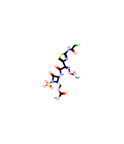 CON=C(C(=O)N[C@H]1C(=O)N(S(=O)(=O)[O-])[C@H]1COC(C)=O)c1csc(NC(=O)CCl)n1.[Na+]